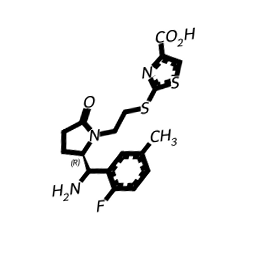 Cc1ccc(F)c(C(N)[C@H]2CCC(=O)N2CCSc2nc(C(=O)O)cs2)c1